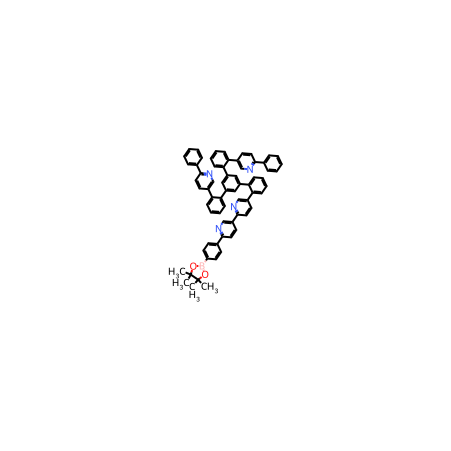 CC1(C)OB(c2ccc(-c3ccc(-c4ccc(-c5ccccc5-c5cc(-c6ccccc6-c6ccc(-c7ccccc7)nc6)cc(-c6ccccc6-c6ccc(-c7ccccc7)nc6)c5)cn4)cn3)cc2)OC1(C)C